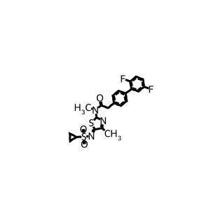 CC1=NC(N(C)C(=O)Cc2ccc(-c3cc(F)ccc3F)cc2)SC1=NS(=O)(=O)C1CC1